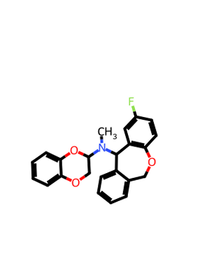 CN(C1COc2ccccc2O1)C1c2ccccc2COc2ccc(F)cc21